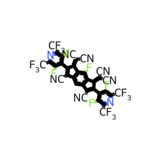 N#CC(C#N)=C1C(c2c(F)c(C(F)(F)F)nc(C(F)(F)F)c2F)=C(C#N)c2cc3c(c(F)c21)C(=C(C#N)C#N)C(c1c(F)c(C(F)(F)F)nc(C(F)(F)F)c1F)=C3C#N